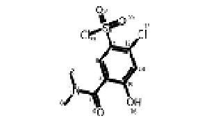 CN(C)C(=O)c1cc(S(=O)(=O)Cl)c(Cl)cc1O